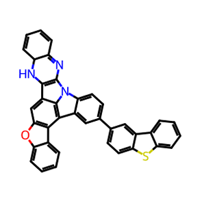 C1=CC2=Nc3c(c4cc5oc6ccccc6c5c5c6cc(-c7ccc8sc9ccccc9c8c7)ccc6n3c45)NC2C=C1